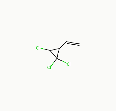 C=CC1C(Cl)C1(Cl)Cl